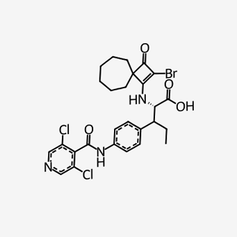 CCC(c1ccc(NC(=O)c2c(Cl)cncc2Cl)cc1)[C@H](NC1=C(Br)C(=O)C12CCCCCC2)C(=O)O